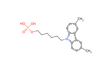 Cc1ccc2c(c1)c1cc(C)ccc1n2CCCCCCOP(=O)(O)O